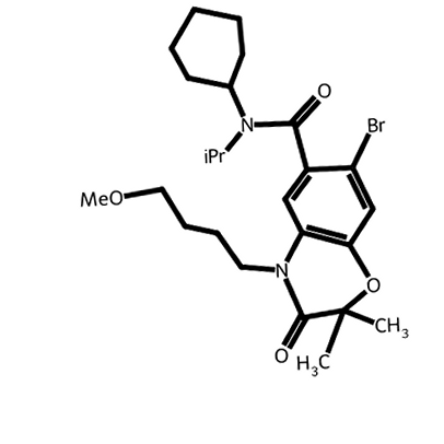 COCCCCN1C(=O)C(C)(C)Oc2cc(Br)c(C(=O)N(C(C)C)C3CCCCC3)cc21